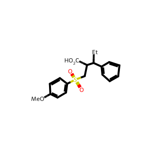 CCC(c1ccccc1)C(CS(=O)(=O)c1ccc(OC)cc1)C(=O)O